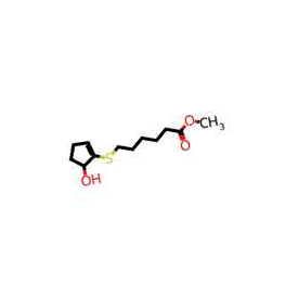 COC(=O)CCCCCSC1=CCCC1O